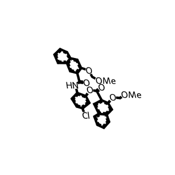 COCOc1cc2ccccc2cc1C(=O)Nc1ccc(Cl)cc1OC(=O)c1cc2ccccc2cc1OCOC